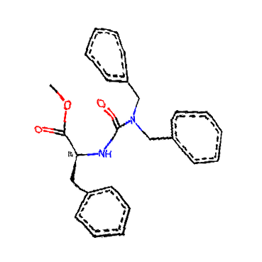 COC(=O)[C@H](Cc1ccccc1)NC(=O)N(Cc1ccccc1)Cc1ccccc1